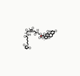 CCC(=O)O[C@]1(C(=O)COCNC(=O)CNC(=O)[C@H](C)NC(=O)[C@H](C)NC(=O)CCCCCN2C(=O)C=CC2=O)[C@@H](C)CC2[C@@H]3CCC4=CC(=O)C=C[C@]4(C)[C@@]3(Cl)[C@@H](O)C[C@@]21C